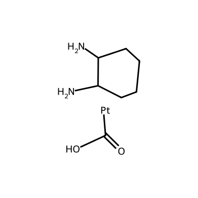 NC1CCCCC1N.O=[C](O)[Pt]